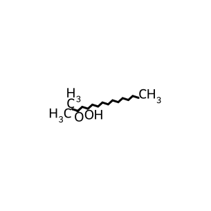 CCCCCCCCCCCC(O)CC(=O)C(C)C